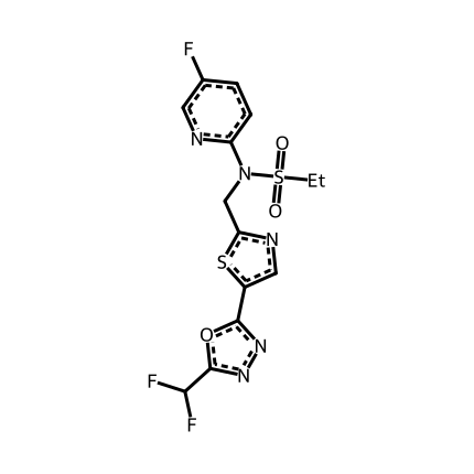 CCS(=O)(=O)N(Cc1ncc(-c2nnc(C(F)F)o2)s1)c1ccc(F)cn1